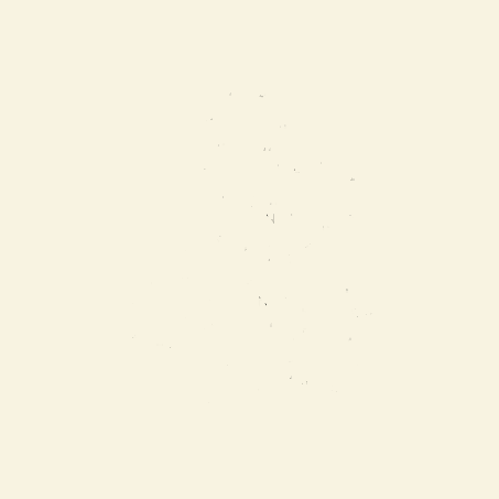 c1ccc(C2(c3ccccc3)c3ccccc3N3c4c(cccc42)B2c4c(cc5sc6ccccc6c5c43)-c3cccc4c5c6ccccc6ccc5n2c34)cc1